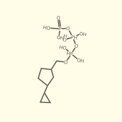 O=P(O)(O)O[PH](O)(O)O[PH](O)(O)OCC1CCC(C2CC2)C1